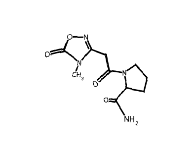 Cn1c(CC(=O)N2CCCC2C(N)=O)noc1=O